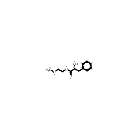 COCCOC(=O)[C@H](O)Cc1ccccc1